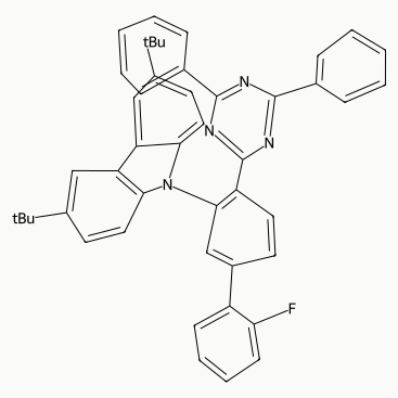 CC(C)(C)c1ccc2c(c1)c1cc(C(C)(C)C)ccc1n2-c1cc(-c2ccccc2F)ccc1-c1nc(-c2ccccc2)nc(-c2ccccc2)n1